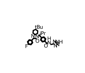 CC(C)C(c1ccc(C(=O)NCc2nn[nH]n2)cc1)N1C(=O)C(c2ccc(F)cc2)=NC12CCC(C(C)(C)C)CC2